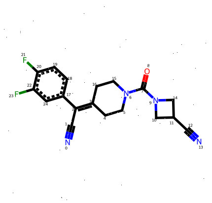 N#CC(=C1CCN(C(=O)N2CC(C#N)C2)CC1)c1ccc(F)c(F)c1